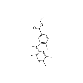 CCOC(=O)c1ccc(C)c(N(C)c2nc(C)c(C)nc2C)c1